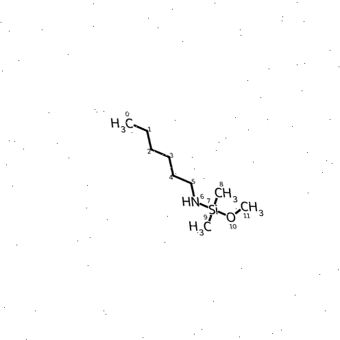 CCCCCCN[Si](C)(C)OC